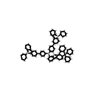 c1ccc(-n2c3ccccc3c3cc(-c4ccc(N(c5ccc(-c6ccc7c(c6)c6ccccc6n7-c6ccccc6)cc5)c5cccc6c5oc5c7c(ccc56)C(c5ccccc5)(c5ccccc5)c5ccccc5-7)cc4)ccc32)cc1